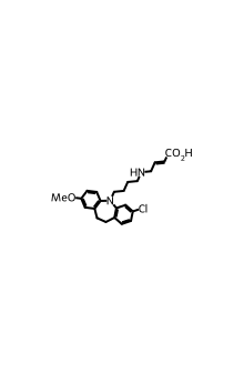 COc1ccc2c(c1)CCc1ccc(Cl)cc1N2CCCCNC/C=C/C(=O)O